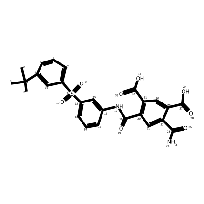 CC(C)(C)c1cccc(S(=O)(=O)c2cccc(NC(=O)c3cc(C(N)=O)c(C(=O)O)cc3C(=O)O)c2)c1